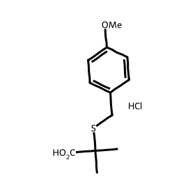 COc1ccc(CSC(C)(C)C(=O)O)cc1.Cl